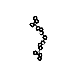 c1cc(-c2cnc3c(ccc4cc(-n5c6ccccc6c6c7ccccc7ccc65)ccc43)c2)cc(-c2cnc3c(ccc4cc(-n5c6ccccc6c6c7ccccc7ccc65)ccc43)c2)c1